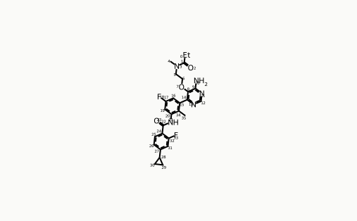 CCC(=O)N(C)CCOc1c(N)ncnc1-c1cc(F)cc(NC(=O)c2ccc(C3CC3)cc2F)c1C